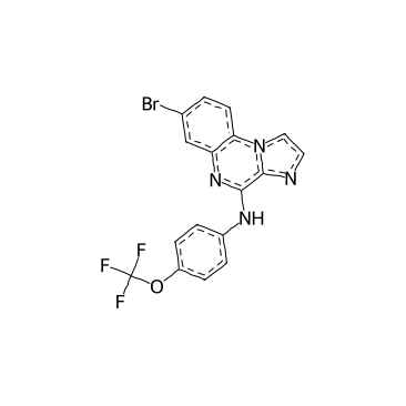 FC(F)(F)Oc1ccc(Nc2nc3cc(Br)ccc3n3ccnc23)cc1